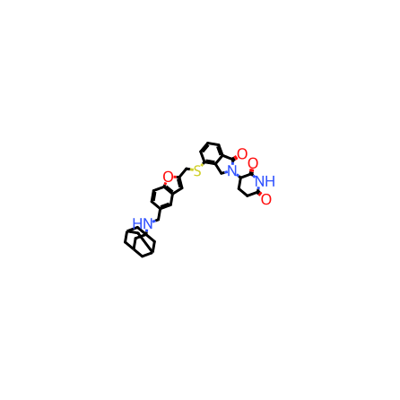 O=C1CCC(N2Cc3c(SCc4cc5cc(CNC67CC8CC(CC(C8)C6)C7)ccc5o4)cccc3C2=O)C(=O)N1